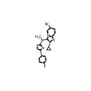 CN(c1nc(-c2ccc(F)cc2)cs1)c1c(C2CC2)nc2ccc(Br)cn12